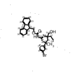 CC1(c2cc(Br)cs2)CC(CO)(CI)N=C(NC(=O)OCC2c3ccccc3-c3ccccc32)S1